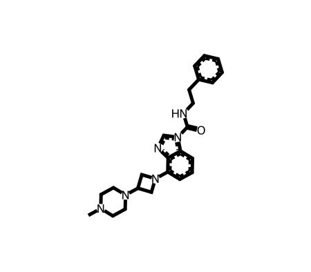 CN1CCN(C2CN(c3cccc4c3ncn4C(=O)NCCc3ccccc3)C2)CC1